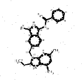 CCc1nc2c(C)cc(C)nc2n1Cc1ccc2c(OC(=O)c3ccccc3)oc(Br)c2c1